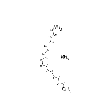 CCCCCCCC/C=C\CCCCCCCCN.P